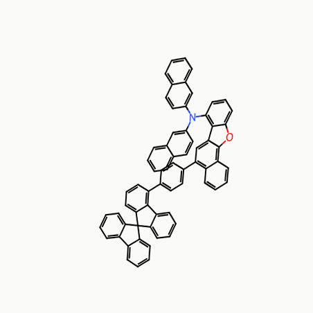 c1ccc2c(c1)-c1ccccc1C21c2ccccc2-c2c(-c3ccc(-c4cc5c(oc6cccc(N(c7ccc8ccccc8c7)c7ccc8ccccc8c7)c65)c5ccccc45)cc3)cccc21